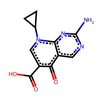 Nc1ncc2c(=O)c(C(=O)O)cn(C3CC3)c2n1